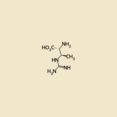 C[C@@H](NC(=N)N)[C@@H](N)C(=O)O